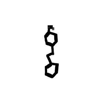 Bc1ccc(SCc2ccccc2)cc1